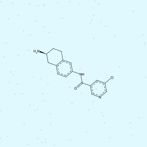 N[C@H]1CCc2cc(NC(=O)c3cncc(Cl)c3)ccc2C1